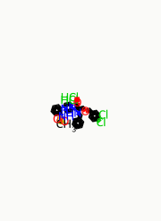 CS(=O)(=O)Nc1ccccc1N1CCN(C(=O)C(COCc2ccc(Cl)c(Cl)c2)NCc2ccccc2)CC1.Cl.Cl